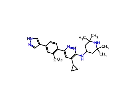 COc1cc(-c2cn[nH]c2)ccc1-c1cc(C2CC2)c(NC2CC(C)(C)NC(C)(C)C2)nn1